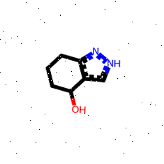 OC1CCCc2n[nH]cc21